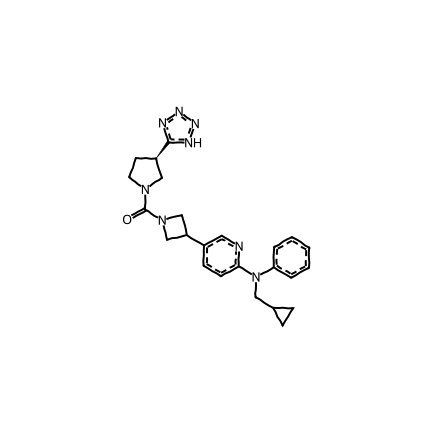 O=C(N1CC(c2ccc(N(CC3CC3)c3ccccc3)nc2)C1)N1CC[C@@H](c2nnn[nH]2)C1